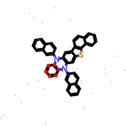 c1ccc(N(c2ccc3ccccc3c2)c2cc3sc4c5ccccc5ccc4c3cc2N(c2ccccc2)c2ccc3ccccc3c2)cc1